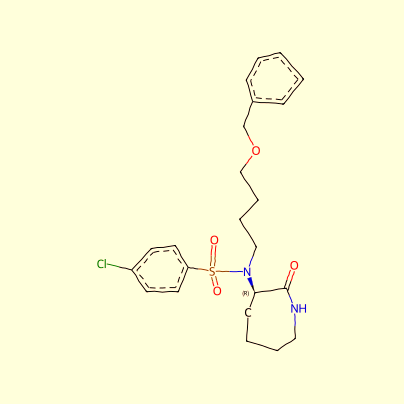 O=C1NCCCC[C@H]1N(CCCCOCc1ccccc1)S(=O)(=O)c1ccc(Cl)cc1